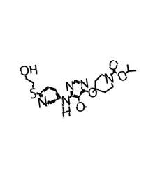 COc1c(Nc2ccc(SCCO)nc2)ncnc1OC1CCN(C(=O)OC(C)C)CC1